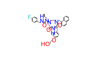 C=CCN(C(=O)NCc1ccc(F)cc1)N1CCN(Cc2cccc3ccccc23)C(=O)[C@H](Cc2ccc(OCCO)cc2)NC(=O)C1